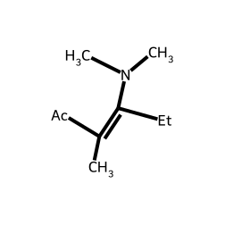 CC/C(=C(\C)C(C)=O)N(C)C